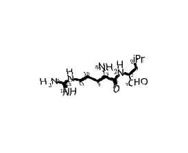 CC(C)C[C@@H](C=O)NC(=O)[C@@H](N)CCCNC(=N)N